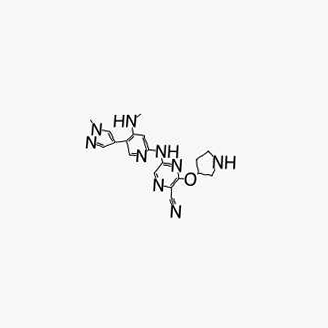 CNc1cc(Nc2cnc(C#N)c(OC3CCNC3)n2)ncc1-c1cnn(C)c1